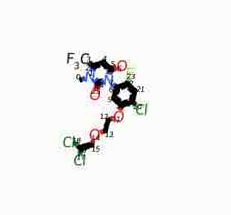 Cn1c(C(F)(F)F)cc(=O)n(-c2cc(OCCOC=C(Cl)Cl)c(Cl)cc2F)c1=O